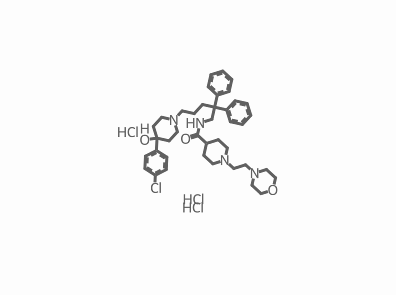 Cl.Cl.Cl.O=C(NCC(CCCN1CCC(O)(c2ccc(Cl)cc2)CC1)(c1ccccc1)c1ccccc1)C1CCN(CCN2CCOCC2)CC1